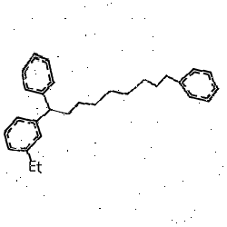 CCc1cccc(C(CCCCCCCCc2ccccc2)c2ccccc2)c1